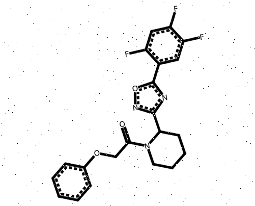 O=C(COc1ccccc1)N1CCCCC1c1noc(-c2cc(F)c(F)cc2F)n1